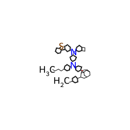 C=Cc1ccc(C2CC3CC4CCC2C(c2ccc(N(c5ccc(CCCC)cc5)c5ccc(N(c6ccc7c(c6)CC7)c6ccc7sc8ccccc8c7c6)cc5)cc2)(C4)C3)cc1